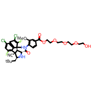 COc1cc(C(=O)OCCOCCOCCOCCO)ccc1NC(=O)[C@@H]1N[C@@H](CC(C)(C)C)[C@](C#N)(c2ccc(Cl)cc2F)[C@H]1C1(C)CC=CC(Cl)=C1F